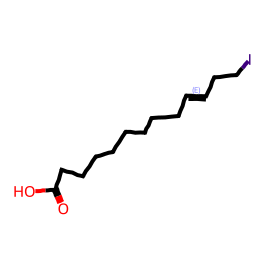 O=C(O)CCCCCCCC/C=C/CCI